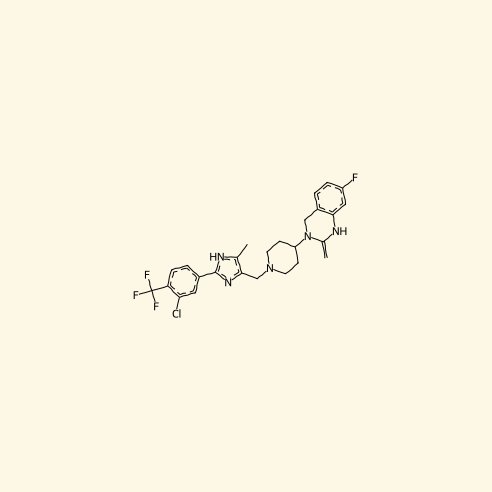 C=C1Nc2cc(F)ccc2CN1C1CCN(Cc2nc(-c3ccc(C(F)(F)F)c(Cl)c3)[nH]c2C)CC1